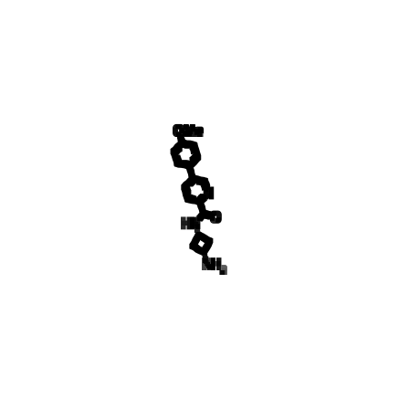 COc1ccc(-c2ccc(C(=O)N[C@H]3C[C@@H](N)C3)nc2)cc1